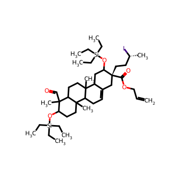 C=CCOC(=O)[C@]1(CC[C@@H](C)I)CC2=CCC3C(C)(CCC4C(C)(C=O)C(O[Si](CC)(CC)CC)CCC43C)C2CC1O[Si](CC)(CC)CC